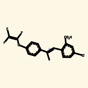 C/C(=C\c1ccc(Cl)cc1C(=O)O)c1ccc(OC(F)=C(F)F)cc1